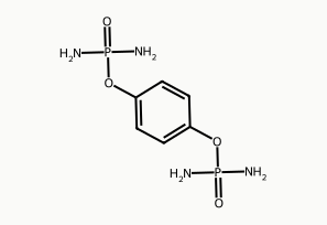 NP(N)(=O)Oc1ccc(OP(N)(N)=O)cc1